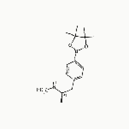 C[C@H](Cc1ccc(B2OC(C)(C)C(C)(C)O2)cc1)NC(=O)O